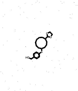 OCc1ccc(SC2CCCCCCC(C3OCCO3)CCC2)cc1